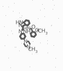 COc1ccccc1C(=O)Nc1cccc2[nH]nc(-c3nc4ccc(N5CCN(C)CC5)cc4[nH]3)c12